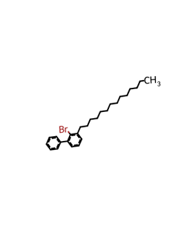 CCCCCCCCCCCCCCc1cccc(-c2ccccc2)c1Br